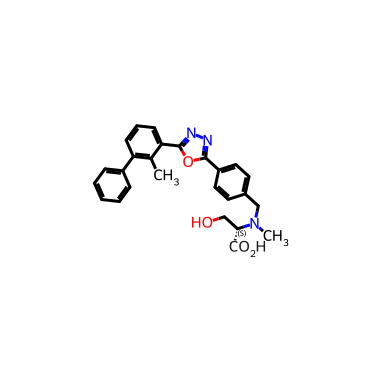 Cc1c(-c2ccccc2)cccc1-c1nnc(-c2ccc(CN(C)[C@@H](CO)C(=O)O)cc2)o1